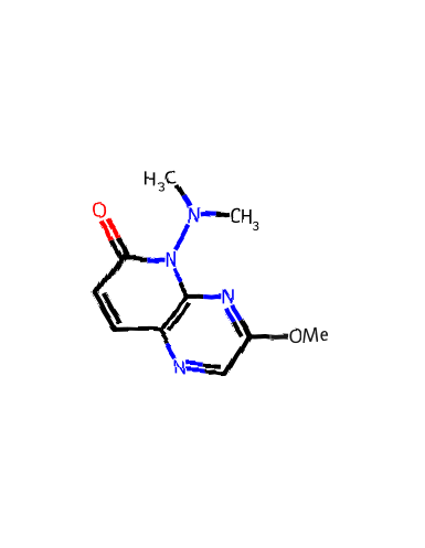 COc1cnc2ccc(=O)n(N(C)C)c2n1